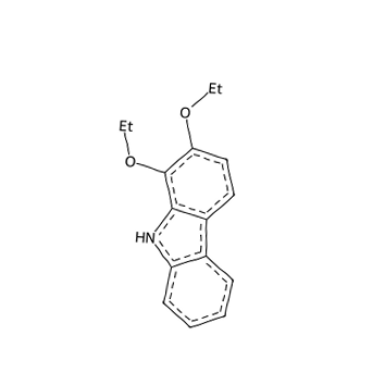 CCOc1ccc2c([nH]c3ccccc32)c1OCC